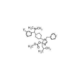 COC(=O)OC1(CC(C)C)N=CN(Cc2ccccc2)C1C1CCC(C(c2cccc(F)c2)N(C)C)CC1